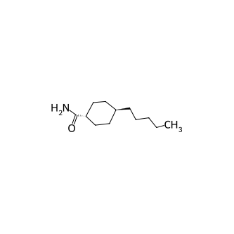 CCCCC[C@H]1CC[C@H](C(N)=O)CC1